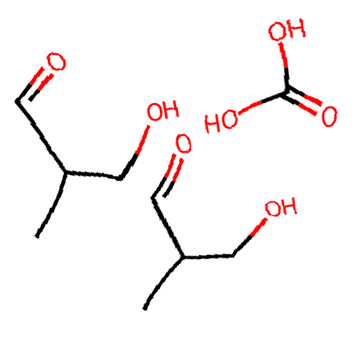 CC(C=O)CO.CC(C=O)CO.O=C(O)O